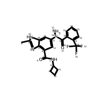 Cc1nc2c(C(=O)NC3CCC3)cc(N(N)C(=O)c3ccccc3C(F)(F)F)cc2[nH]1